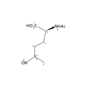 CC(=O)N[C@@H](CC[S+](C)N=O)C(=O)O